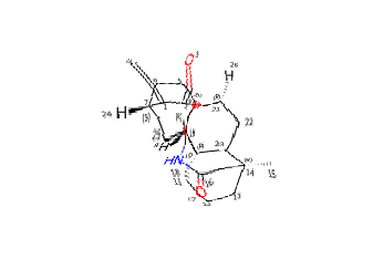 C=C1C(=O)C23CC[C@H]1CC2[C@@]12CCC[C@@]4(C)C(=O)N[C@@H]1O[C@@H]3CC24